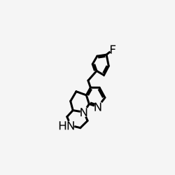 Fc1ccc(Cc2ccnc3c2CCC2CNCCN32)cc1